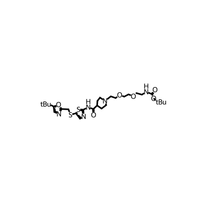 CC(C)(C)OC(=O)NCCOCCOCCN1CCC(C(=O)Nc2ncc(SCc3ncc(C(C)(C)C)o3)s2)CC1